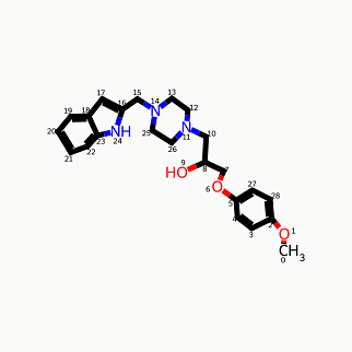 COc1ccc(OCC(O)CN2CCN(Cc3cc4ccccc4[nH]3)CC2)cc1